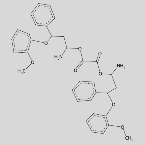 COc1ccccc1OC(CC(N)OC(=O)C(=O)OC(N)CC(Oc1ccccc1OC)c1ccccc1)c1ccccc1